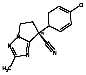 Cc1nc2n(n1)CC[C@]2(C#N)C1C=CC(Cl)=CC1